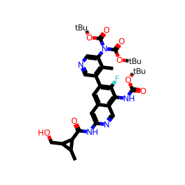 Cc1c(-c2cc3cc(NC(=O)C4C(C)C4CO)ncc3c(NC(=O)OC(C)(C)C)c2F)cncc1N(C(=O)OC(C)(C)C)C(=O)OC(C)(C)C